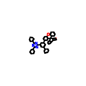 c1ccc(-c2cc(-c3ccc4c(c3)C3(c5ccccc5O4)c4ccccc4-c4ccccc43)cc(-c3nc(-c4ccccc4)nc(-c4ccccc4)n3)c2)cc1